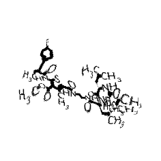 CCC(C(=O)Nc1sc(C(=O)NCCNC(=O)[C@H](CC(C)C)NC(=O)[C@H](CC(C)C)NC(=O)OC(C)(C)C)c(C)c1C(=O)OC)c1ccc(F)cc1